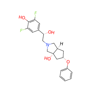 Oc1c(F)cc([C@H](O)CN2C[C@H]3C[C@H](Oc4ccccc4)C[C@@]3(O)C2)cc1F